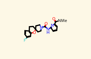 CNC(=O)c1cccc(NC(=O)N2CCC3(CCc4ccc(F)cc4O3)CC2)n1